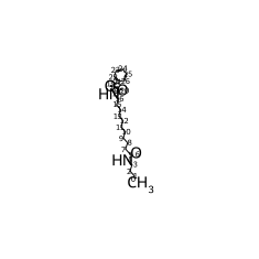 CCCCNC(=O)CCCCCCCCCCNS(=O)(=O)c1ccccc1